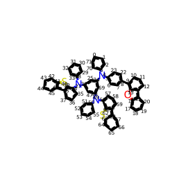 c1ccc(N(c2ccc(-c3cccc4c3oc3ccccc34)cc2)c2cc(N(c3ccccc3)c3cccc4c3sc3ccccc34)cc(N(c3ccccc3)c3cccc4c3sc3ccccc34)c2)cc1